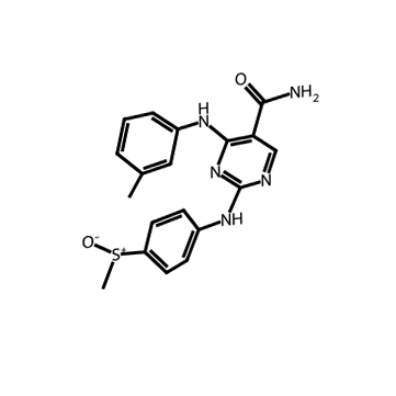 Cc1cccc(Nc2nc(Nc3ccc([S+](C)[O-])cc3)ncc2C(N)=O)c1